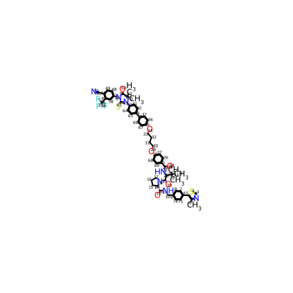 Cc1ncsc1-c1ccc(CNC(=O)[C@@H]2CCCN2C(=O)[C@@H](NC(=O)c2ccc(OCCCCOc3ccc(-c4ccc(N5C(=S)N(c6ccc(C#N)c(C(F)(F)F)c6)C(=O)C5(C)C)cc4)cc3)cc2)C(C)(C)C)cc1